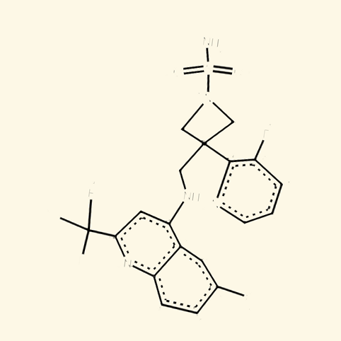 NS(=O)(=O)N1CC(CNc2cc(C(F)(F)F)nc3ccc(Cl)cc23)(c2ncccc2F)C1